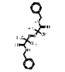 CC(C)(/N=N/C(C)(C)C(=N)NCc1ccccc1)C(=N)NCc1ccccc1